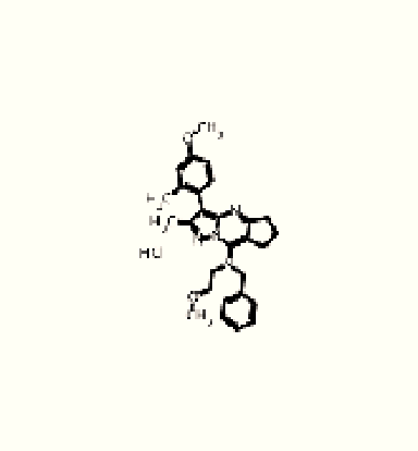 COCCN(Cc1ccccc1)c1c2c(nc3c(-c4ccc(OC)cc4C)c(C)nn13)CCC2.Cl